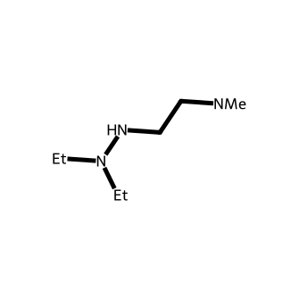 CCN(CC)NCCNC